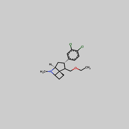 CCOCC1[C@@H](c2ccc(Cl)c(Cl)c2)C[C@@H]2N(C)C3CC[C@@]132